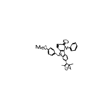 COc1ccc(Cn2c3cc(-c4c(C)noc4C)ccc3c3c2ccc(=O)n3-c2ccccc2)cc1